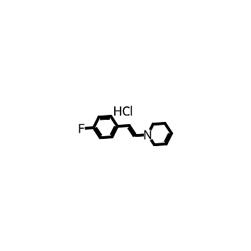 Cl.Fc1ccc(C=CN2CC=CCC2)cc1